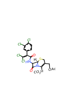 CC(=O)OCC1=C(C(=O)O)N2C(=O)C(NC(=O)C(=C(Cl)Cl)c3ccc(Cl)c(Cl)c3)[C@H]2SC1